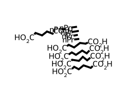 CCCC.CCCC.CCCC.CCCC.CCCC.O=C(O)CCCCC(=O)O.O=C(O)CCCCC(=O)O.O=C(O)CCCCC(=O)O.O=C(O)CCCCC(=O)O.O=C(O)CCCCC(=O)O